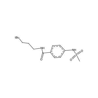 CC(C)(C)CCCNC(=O)c1ccc(NS(C)(=O)=O)cc1